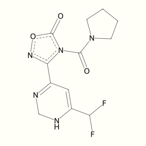 O=C(N1CCCC1)n1c(C2=NCNC(C(F)F)=C2)noc1=O